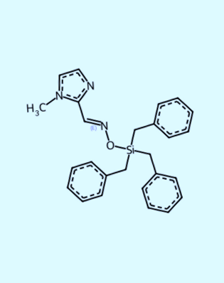 Cn1ccnc1/C=N/O[Si](Cc1ccccc1)(Cc1ccccc1)Cc1ccccc1